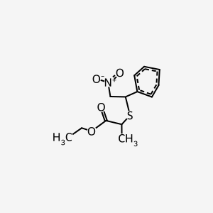 CCOC(=O)C(C)SC(C[N+](=O)[O-])c1ccccc1